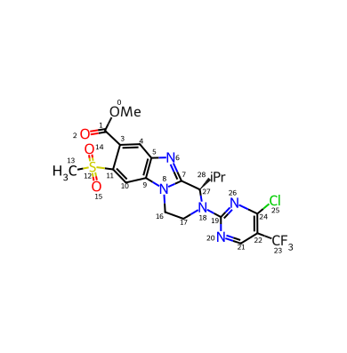 COC(=O)c1cc2nc3n(c2cc1S(C)(=O)=O)CCN(c1ncc(C(F)(F)F)c(Cl)n1)[C@@H]3C(C)C